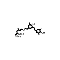 CO/C=C(/C=C(C)\C=C\OCCc1cc(C)c(O)c(CCc2cc(C)c(O)c(C)c2)c1)OC